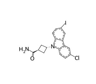 NC(=O)[C@H]1C[C@H](n2c3ccc(Cl)cc3c3cc(I)ccc32)C1